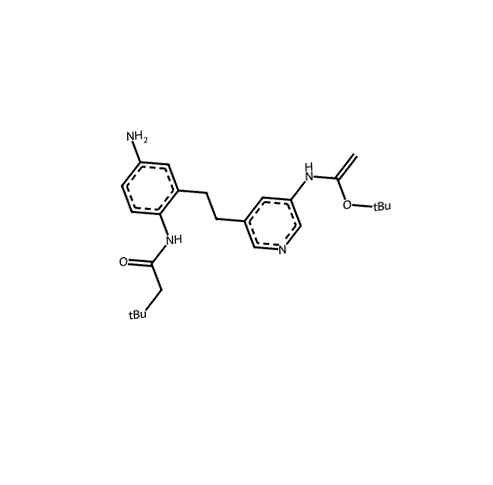 C=C(Nc1cncc(CCc2cc(N)ccc2NC(=O)CC(C)(C)C)c1)OC(C)(C)C